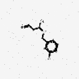 C[C@H](CC=N)OCc1cccc(Cl)c1